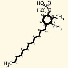 CCCCCCCCCCCCc1ccc(OP(=O)(O)O)c(C)c1C